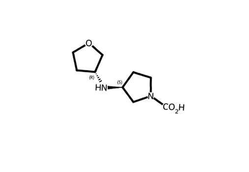 O=C(O)N1CC[C@H](N[C@@H]2CCOC2)C1